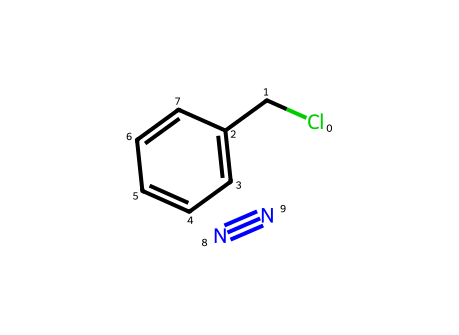 ClCc1ccccc1.N#N